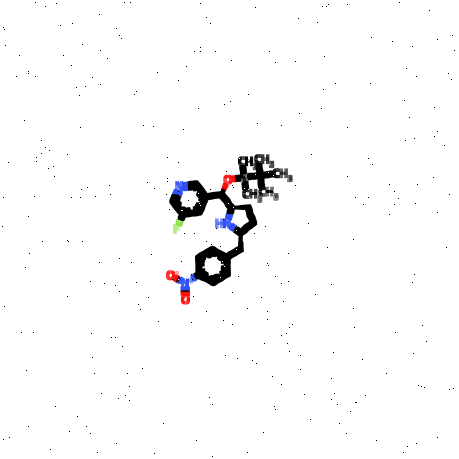 CC(C)(C)[Si](C)(C)O[C@H](c1cncc(F)c1)[C@H]1CC[C@@H](Cc2ccc([N+](=O)[O-])cc2)N1